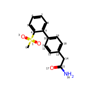 CS(=O)(=O)c1ccccc1-c1ccc(CC(N)=O)cc1